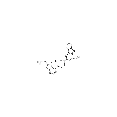 CCc1sc2ncnc(N3CCN(C(CCC=O)On4nnc5ccccc54)CC3)c2c1C